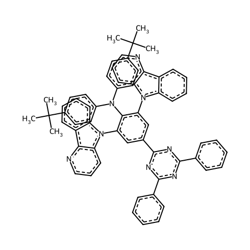 CC(C)(C)c1ccc(N(c2ccc(C(C)(C)C)cc2)c2c(-n3c4ccccc4c4ncccc43)cc(-c3nc(-c4ccccc4)nc(-c4ccccc4)n3)cc2-n2c3ccccc3c3ncccc32)cc1